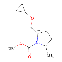 CC1CC[C@@H](COC2CC2)N1C(=O)OC(C)(C)C